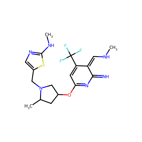 CN/C=C1\C(=N)N=C(OC2CC(C)N(Cc3cnc(NC)s3)C2)C=C1C(F)(F)F